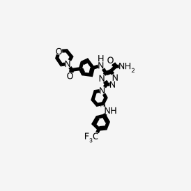 NC(=O)c1nnc(N2CCC[C@@H](Nc3ccc(C(F)(F)F)cc3)C2)nc1Nc1ccc(C(=O)N2CCOCC2)cc1